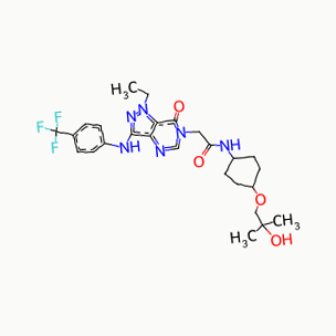 CCn1nc(Nc2ccc(C(F)(F)F)cc2)c2ncn(CC(=O)NC3CCC(OCC(C)(C)O)CC3)c(=O)c21